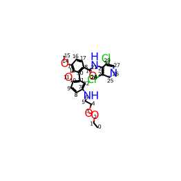 CCOOCCNc1ccc2oc3c(OC)ccc(C(=O)Nc4c(Cl)cncc4Cl)c3c2c1